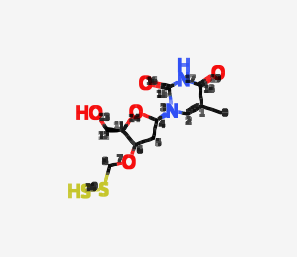 Cc1cn([C@H]2CC(OCSS)[C@@H](CO)O2)c(=O)[nH]c1=O